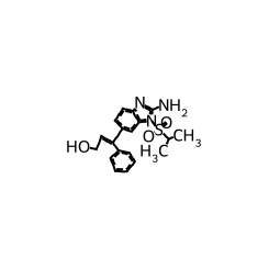 CC(C)S(=O)(=O)n1c(N)nc2ccc(C(=CCO)c3ccccc3)cc21